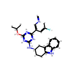 C=N/C=C(\C=C(/C)F)c1nc(N[C@@H]2CCc3[nH]c4ccccc4c3C2)nc(OC(C)C)n1